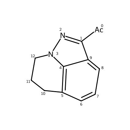 CC(=O)c1nn2c3c(cccc13)CCC2